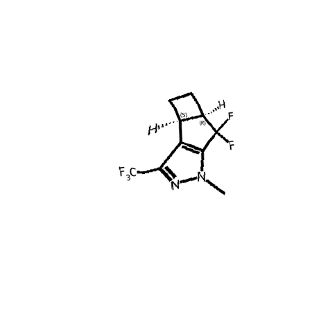 Cn1nc(C(F)(F)F)c2c1C(F)(F)[C@@H]1CC[C@H]21